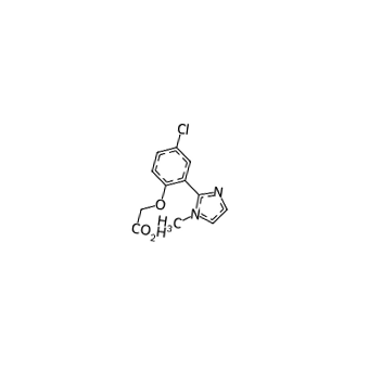 Cn1ccnc1-c1cc(Cl)ccc1OCC(=O)O